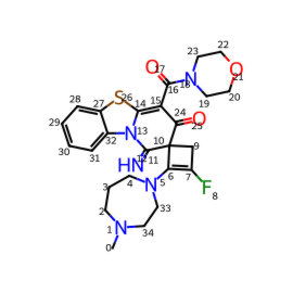 CN1CCCN(C2=C(F)CC23C(=N)N2C(=C(C(=O)N4CCOCC4)C3=O)Sc3ccccc32)CC1